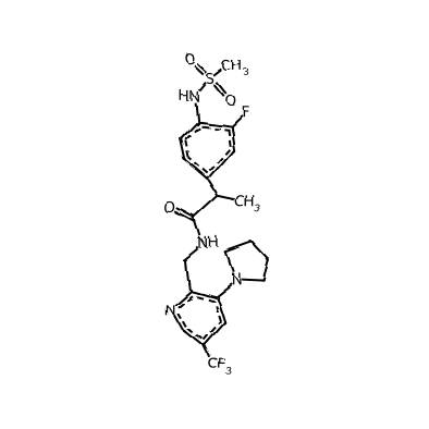 CC(C(=O)NCc1ncc(C(F)(F)F)cc1N1CCCC1)c1ccc(NS(C)(=O)=O)c(F)c1